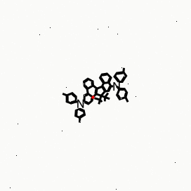 Cc1ccc(N(c2ccc(C)cc2)c2ccc3c4c(c5ccccc5c3c2)-c2c(cc(N(c3ccc(C)cc3)c3ccc(C)cc3)c3ccccc23)C4(C(C)(C)C)C(C)(C)C)cc1